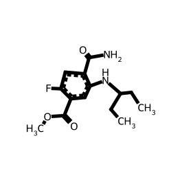 CCC(CC)Nc1cc(C(=O)OC)c(F)cc1C(N)=O